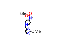 COc1nccc(CN2CCC(N(C)C(=O)OC(C)(C)C)CC2)n1